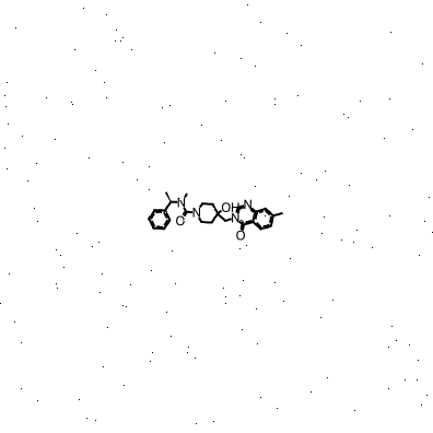 Cc1ccc2c(=O)n(CC3(O)CCN(C(=O)N(C)[C@H](C)c4ccccc4)CC3)cnc2c1